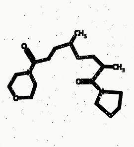 CC(CCC(=O)N1CCOCC1)CCC(C)C(=O)N1CCCC1